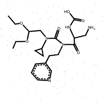 CCOC(CN(C(=O)N(CCc1cccnc1)C(=O)C(CN)NC(=O)O)C1CC1)OCC